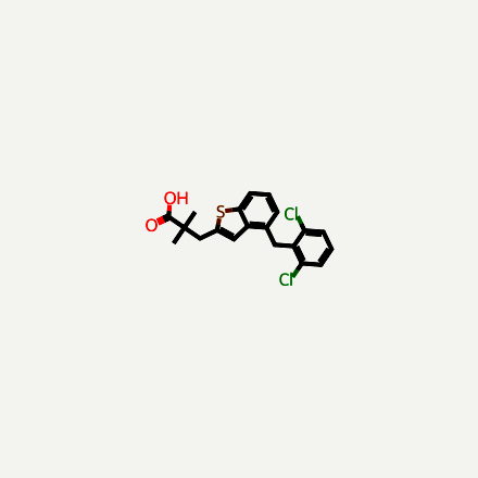 CC(C)(Cc1cc2c(Cc3c(Cl)cccc3Cl)cccc2s1)C(=O)O